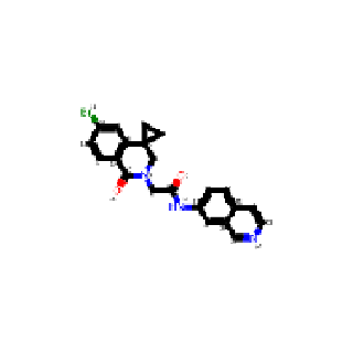 O=C(CN1CC2(CC2)c2cc(Br)ccc2C1=O)Nc1ccc2ccncc2c1